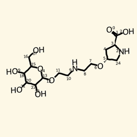 O=C(O)[C@@H]1C[C@@H](OCCNCCOC2OC(CO)C(O)C(O)C2O)CN1